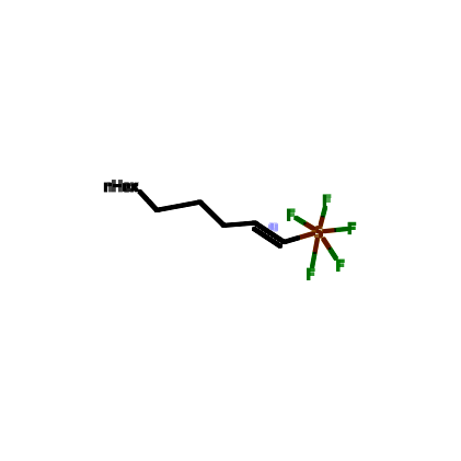 CCCCCCCCC/C=C/S(F)(F)(F)(F)F